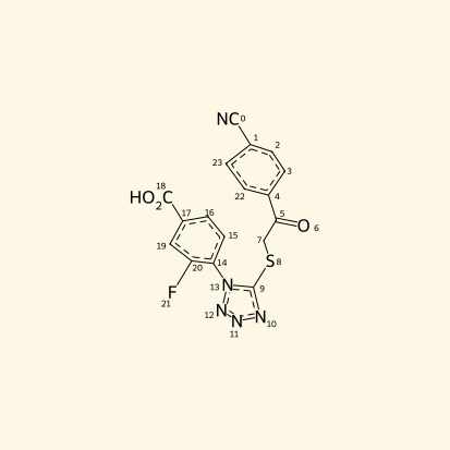 N#Cc1ccc(C(=O)CSc2nnnn2-c2ccc(C(=O)O)cc2F)cc1